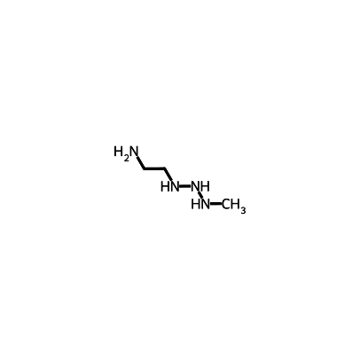 CNNNCCN